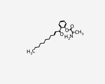 CCCCCCCCC=CC(=O)c1ccccc1OC(=O)[C@H](C)N